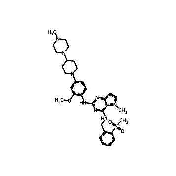 COc1cc(N2CCC(N3CCN(C)CC3)CC2)ccc1Nc1nc(NCc2ccccc2S(C)(=O)=O)c2c(ccn2C)n1